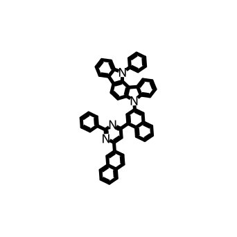 c1ccc(-c2nc(-c3ccc4ccccc4c3)cc(-c3cc(-n4c5ccccc5c5c4ccc4c6ccccc6n(-c6ccccc6)c45)cc4ccccc34)n2)cc1